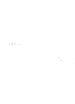 CCCCCCc1cc[n+](CCCC)cc1